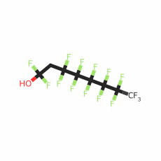 OC(F)(F)CC(F)(F)C(F)(F)C(F)(F)C(F)(F)C(F)(F)C(F)(F)F